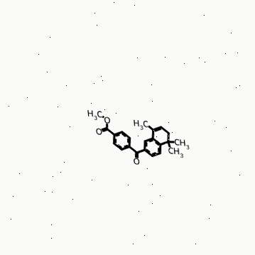 COC(=O)c1ccc(C(=O)c2ccc3c(c2)C(C)=CCC3(C)C)cc1